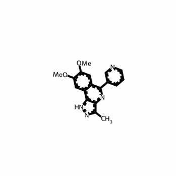 COc1cc2c(-c3cccnc3)nc3c(C)n[nH]c3c2cc1OC